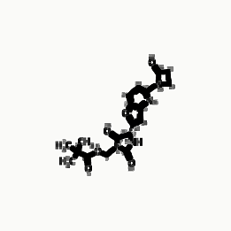 CC(C)(C)C(=O)OCN1C(=O)N[C@@H](c2cc3nc(N4CCC4=O)ccc3o2)C1=O